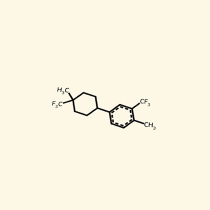 Cc1ccc(C2CCC(C)(C(F)(F)F)CC2)cc1C(F)(F)F